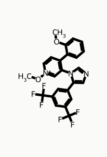 COc1ccccc1-c1cc[n+](OC)cc1-n1cncc1-c1cc(C(F)(F)F)cc(C(F)(F)F)c1